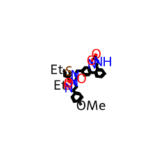 CCO/N=C(\Cn1c(=O)c2cc(CC)sc2n(Cc2ccc(-c3ccccc3-c3noc(=O)[nH]3)cc2)c1=O)c1ccc(OC)cc1